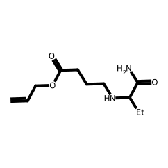 C=CCOC(=O)CCCNC(CC)C(N)=O